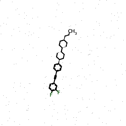 CCC[C@H]1CC[C@H]([C@H]2CC[C@H](c3ccc(C#Cc4ccc(F)c(F)c4)cc3)CC2)CC1